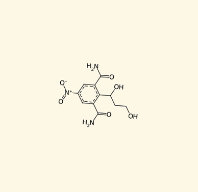 NC(=O)c1cc([N+](=O)[O-])cc(C(N)=O)c1C(O)CCO